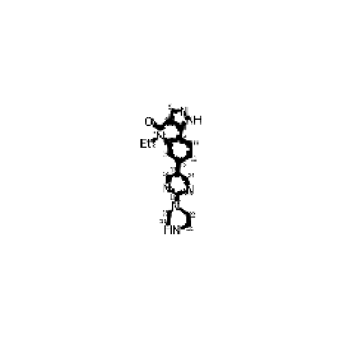 CCn1c(=O)c2cn[nH]c2c2ccc(-c3cnc(N4CCNCC4)nc3)cc21